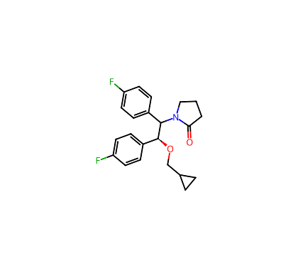 O=C1CCCN1C(c1ccc(F)cc1)[C@@H](OCC1CC1)c1ccc(F)cc1